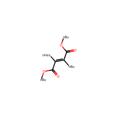 CCCCCCC(C(=O)OCCCC)=C(CCCC)C(=O)OCCCC